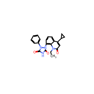 CCn1c(=O)cc(C2CC2)c2cccc(-n3c(=O)[nH]c(=O)n3-c3ccccc3)c21